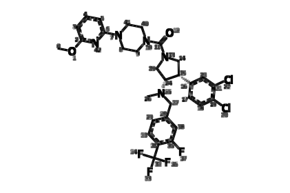 COc1cccc(N2CCN(C(=O)N3C[C@H](c4ccc(Cl)c(Cl)c4)[C@H](N(C)Cc4ccc(C(F)(F)F)c(F)c4)C3)CC2)n1